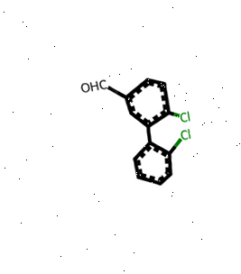 O=Cc1ccc(Cl)c(-c2ccccc2Cl)c1